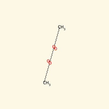 CCCCCCCCCCCCCCCCOC(=O)CCCCCCCCCCC(=O)OCCCCCCCCCCCCCCCC